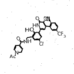 CC(=O)N1C=CC(C(=O)NCc2cc(Cl)cc(-c3cc(-c4cc(C(F)(F)F)ccc4Cl)c(C#N)c(=O)[nH]3)c2O)=CC1